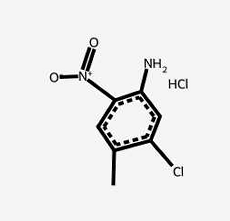 Cc1cc([N+](=O)[O-])c(N)cc1Cl.Cl